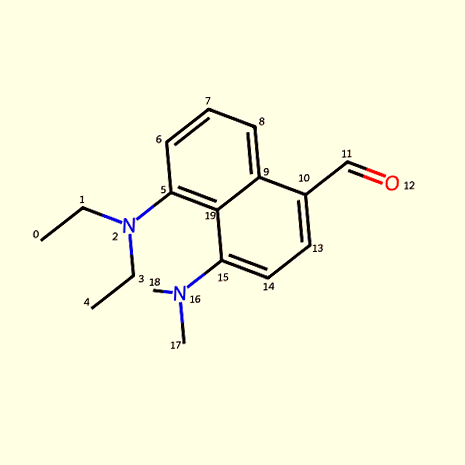 CCN(CC)c1cccc2c(C=O)ccc(N(C)C)c12